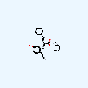 C=C(C=Cc1ccccc1)C(=O)OC1(C)CCCC1.C=Cc1ccc(O)cc1